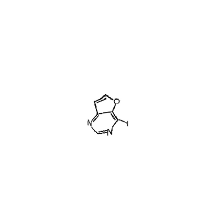 Ic1ncnc2ccoc12